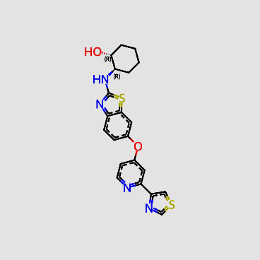 O[C@@H]1CCCC[C@H]1Nc1nc2ccc(Oc3ccnc(-c4cscn4)c3)cc2s1